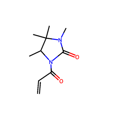 C=CC(=O)N1C(=O)N(C)C(C)(C)C1C